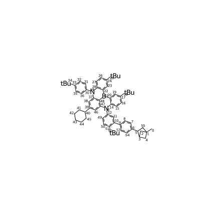 CC12CC(C1)C(c1ccc(-c3cc(N4c5ccc(C(C)(C)C)cc5B5c6cc(C(C)(C)C)ccc6N(c6ccc(C(C)(C)C)cc6)c6cc(C7CCCCC7)cc4c65)ccc3C(C)(C)C)cc1)C2